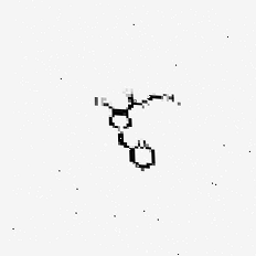 CCOC(=O)C1=C(O)CN(CC2CCCCO2)C1